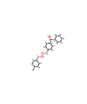 Cc1ccc(COOCc2ccc(C(=O)c3ccccc3)cc2)cc1